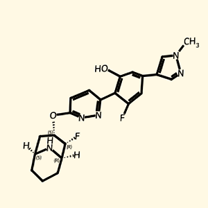 Cn1cc(-c2cc(O)c(-c3ccc(O[C@H]4C[C@@H]5CCC[C@@H](N5)[C@H]4F)nn3)c(F)c2)cn1